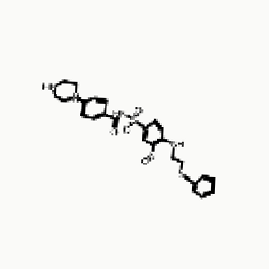 O=Nc1cc(S(=O)(=O)NC(=O)c2ccc(N3CCNCC3)cc2)ccc1NCCSc1ccccc1